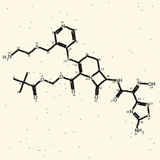 CC(C)(C)C(=O)OCOC(=O)C1=C(Sc2ccncc2CSCCN)CCC2C(NC(=O)C(=NO)c3nsc(N)n3)C(=O)N12